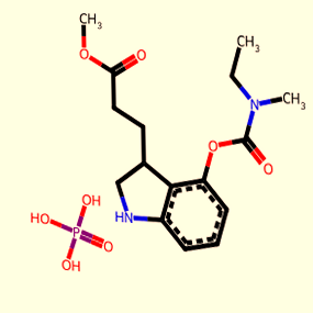 CCN(C)C(=O)Oc1cccc2c1C(CCC(=O)OC)CN2.O=P(O)(O)O